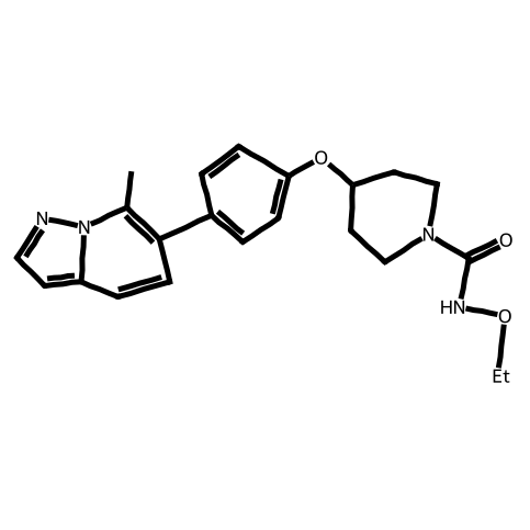 CCONC(=O)N1CCC(Oc2ccc(-c3ccc4ccnn4c3C)cc2)CC1